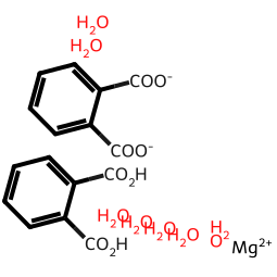 O.O.O.O.O.O.O.O=C(O)c1ccccc1C(=O)O.O=C([O-])c1ccccc1C(=O)[O-].[Mg+2]